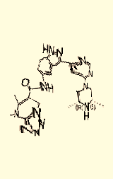 CC1=C(C(=O)Nc2ccc3[nH]nc(-c4cc(N5C[C@@H](C)N[C@@H](C)C5)ncn4)c3c2)Cn2nnnc2N1C